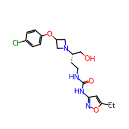 CCc1cc(NC(=O)NCC[C@@H](CO)N2CC(Oc3ccc(Cl)cc3)C2)no1